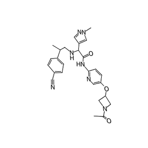 CC(=O)N1CC(Oc2ccc(NC(=O)C(NCC(C)c3ccc(C#N)cc3)c3cnn(C)c3)nc2)C1